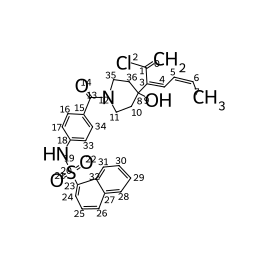 C=C(Cl)/C(=C\C=C/C)C1(O)CCN(C(=O)c2ccc(NS(=O)(=O)c3cccc4ccccc34)cc2)CC1